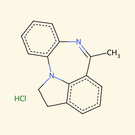 CC1=Nc2ccccc2N2CCc3cccc1c32.Cl